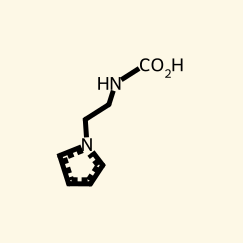 O=C(O)NCCn1cccc1